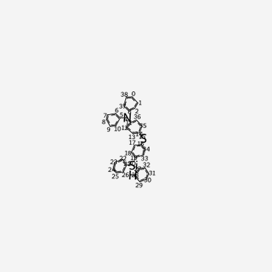 c1ccc(N(c2ccccc2)c2ccc(Sc3ccc([SiH](c4ccccc4)c4ccccc4)cc3)cc2)cc1